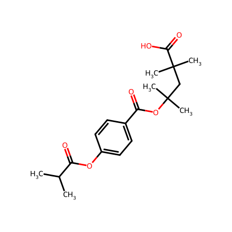 CC(C)C(=O)Oc1ccc(C(=O)OC(C)(C)CC(C)(C)C(=O)O)cc1